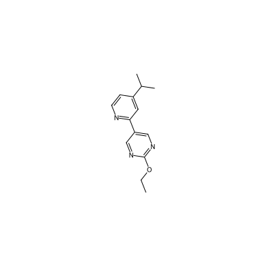 CCOc1ncc(-c2cc(C(C)C)ccn2)cn1